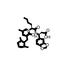 CCCC[C@@H](C(=O)N[C@@H](CC(=O)O)c1ccc2c(c1)OCO2)n1cc(C)cc(Cc2c(C)cccc2C)c1=O